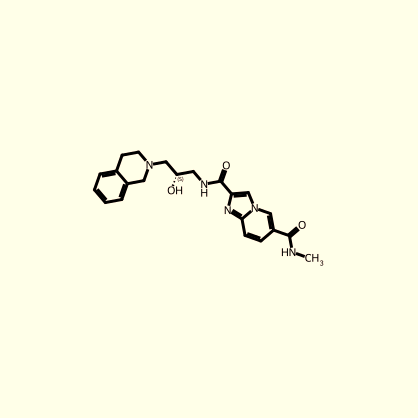 CNC(=O)c1ccc2nc(C(=O)NC[C@H](O)CN3CCc4ccccc4C3)cn2c1